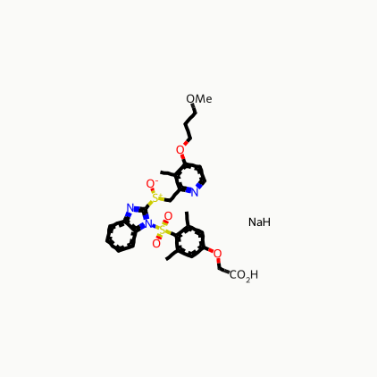 COCCCOc1ccnc(C[S+]([O-])c2nc3ccccc3n2S(=O)(=O)c2c(C)cc(OCC(=O)O)cc2C)c1C.[NaH]